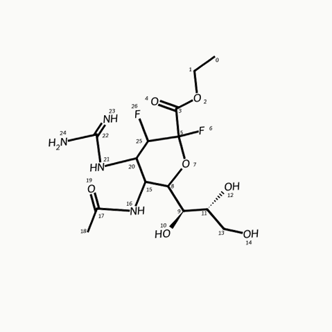 CCOC(=O)C1(F)OC([C@H](O)[C@H](O)CO)C(NC(C)=O)C(NC(=N)N)C1F